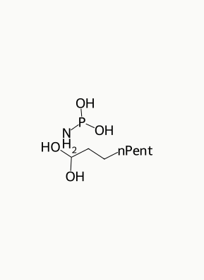 CCCCCCCC(O)O.NP(O)O